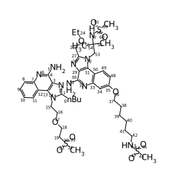 CCCCc1nc2c(N)nc3ccccc3c2n1CCOCCS(C)(=O)=O.CCOCc1nc2c(N)nc3cc(OCCCCCCNS(C)(=O)=O)ccc3c2n1CC(C)(C)NS(C)(=O)=O